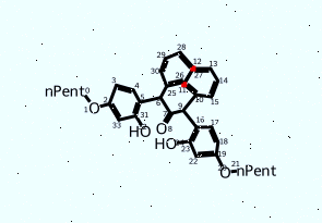 CCCCCOc1ccc(C(C(=O)C(c2ccccc2)c2ccc(OCCCCC)cc2O)c2ccccc2)c(O)c1